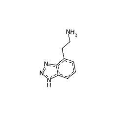 NCCc1cccc2[nH]nnc12